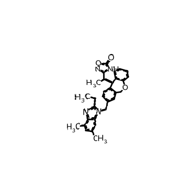 CCc1nc2c(C)cc(C)cc2n1Cc1ccc2c(c1)COc1ccccc1/C2=C(/C)c1noc(=O)[nH]1